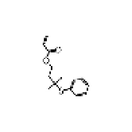 C=CC(=O)OCCC(C)(C)Sc1ccccc1